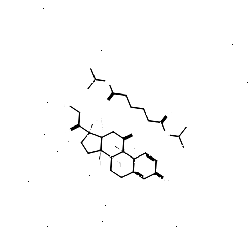 CC(C)OC(=O)CCCCC(=O)OC(C)C.C[C@H]1C[C@H]2[C@@H]3CCC4=CC(=O)C=C[C@]4(C)[C@@]3(F)C(=O)C[C@]2(C)[C@@]1(O)C(=O)CCl